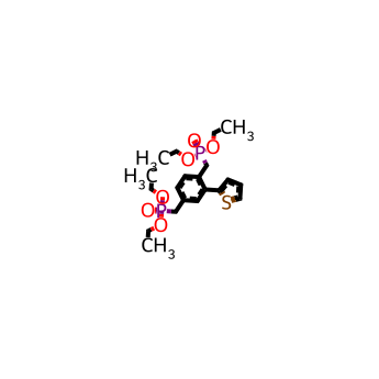 CCOP(=O)(Cc1ccc(CP(=O)(OCC)OCC)c(-c2cccs2)c1)OCC